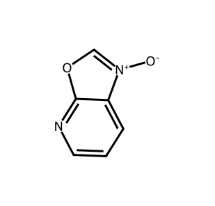 [O-][n+]1coc2ncccc21